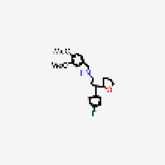 COc1ccc(CNCCC(c2ccc(F)cc2)C2CCCO2)cc1OC